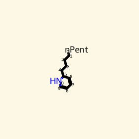 CCCCCCCCCC1C=CC=CN1